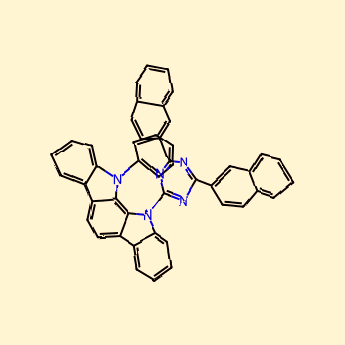 c1ccc(-n2c3ccccc3c3ccc4c5ccccc5n(-c5nc(-c6ccc7ccccc7c6)nc(-c6ccc7ccccc7c6)n5)c4c32)cc1